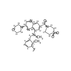 Cc1c(F)cccc1CN(C)c1cc(C(=O)N2CCS(=O)(=O)CC2)cc2ncc(N3CCOCC3)nc12